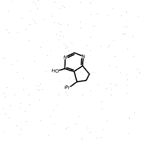 CC(C)C1CCc2ncnc(O)c21